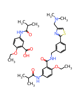 CCOc1ccc(NC(=O)C(C)C)cc1C(=O)NCc1cccc(-c2nc(CN(C)C)cs2)c1.CCOc1ccc(NC(=O)C(C)C)cc1C(=O)O